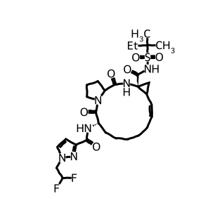 CCC(C)(C)S(=O)(=O)NC(=O)[C@@]12CC1/C=C\CCCCC[C@H](NC(=O)c1ccn(CC(F)F)n1)C(=O)N1CCCC1C(=O)N2